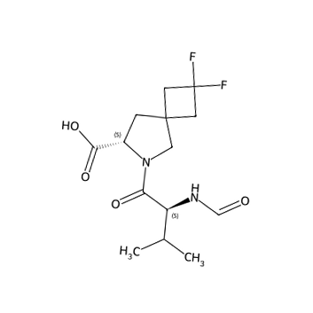 CC(C)[C@H](NC=O)C(=O)N1CC2(C[C@H]1C(=O)O)CC(F)(F)C2